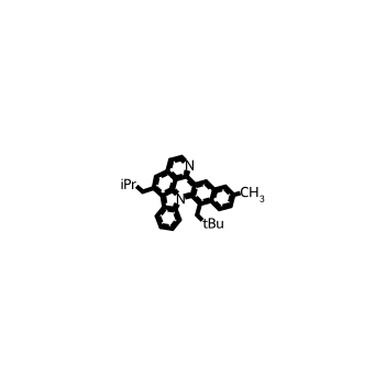 Cc1ccc2c(CC(C)(C)C)c3c(cc2c1)c1nccc2cc(CC(C)C)c4c5ccccc5n3c4c21